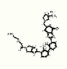 CNCCNCC(=O)N1Cc2nc(-c3cccc(-c4cccc(-c5nc6cc(CN7CC[C@@](C)(C(=O)O)C7)cc(C#N)c6o5)c4C)c3C)oc2C1